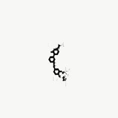 Cc1cc(C(O)(C(F)(F)F)C(F)(F)F)ccc1-c1cccc(OCc2ccc(C(O[SiH](C)C)C(C)(C)C)c(C(O[SiH](C)C)C(C)(C)C)c2)c1